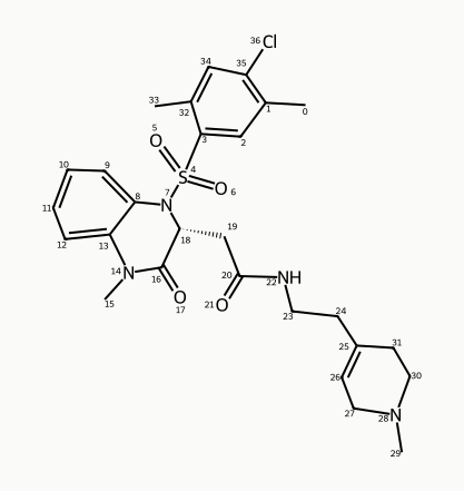 Cc1cc(S(=O)(=O)N2c3ccccc3N(C)C(=O)[C@H]2CC(=O)NCCC2=CCN(C)CC2)c(C)cc1Cl